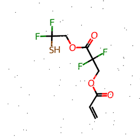 C=CC(=O)OCC(F)(F)C(=O)OCC(F)(F)S